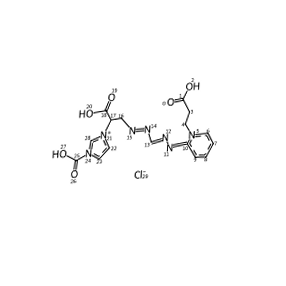 O=C(O)CCn1ccccc1=NN=CN=NCC(C(=O)O)[n+]1ccn(C(=O)O)c1.[Cl-]